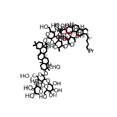 CC(C)CCC[C@@H](C)[C@H]1CC[C@H]2[C@@H]3CC[C@H]4C[C@@H](OC(=O)N[C@H]5C(CO)O[C@@H](OC(=O)[C@]67CCC(C)(C)CC6C6=CCC8C9(C)CC[C@H](O[C@@H]%10OC(C(=O)O)[C@@H](O)[C@H](O[C@@H]%11OC[C@@H](O)[C@H](O)C%11O)C%10O[C@@H]%10OC(CO)[C@H](O)[C@H](O)C%10O)[C@](C)(C=O)[C@@H]9CC[C@]8(C)[C@]6(C)CC7O)C(O[C@@H]6OC(C)[C@H](O[C@@H]7OC[C@@H](O)C(O[C@@H]8OC[C@@](O)(CO)C8O)C7O)C(O)C6O)C5O)CC[C@]4(C)[C@H]3CC[C@]12C